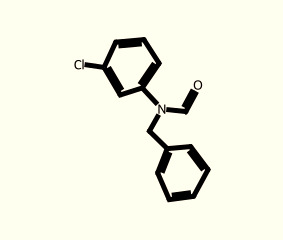 O=[C]N(Cc1ccccc1)c1cccc(Cl)c1